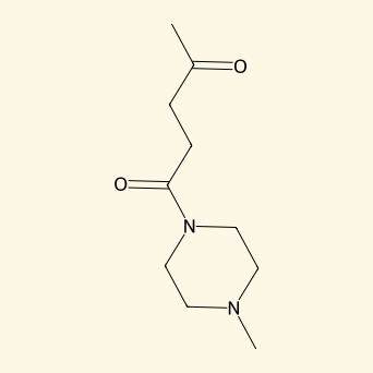 CC(=O)CCC(=O)N1CCN(C)CC1